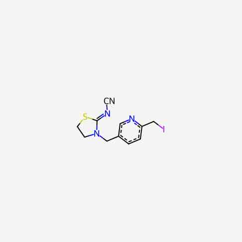 N#CN=C1SCCN1Cc1ccc(CI)nc1